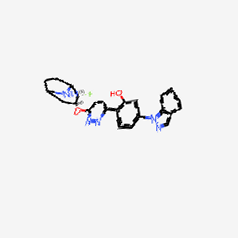 Oc1cc(-n2ncc3ccccc32)ccc1-c1ccc(O[C@@H]2CC3CCC(N3)[C@@H]2F)nn1